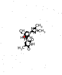 CC[C@@]12CN(c3nc(C)n(C)n3)[C@@H](C(n3cc(C)c(=O)[nH]c3=O)O1)[C@@H]2O